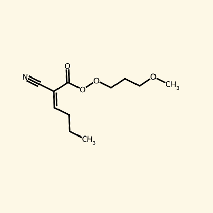 CCCC=C(C#N)C(=O)OOCCCOC